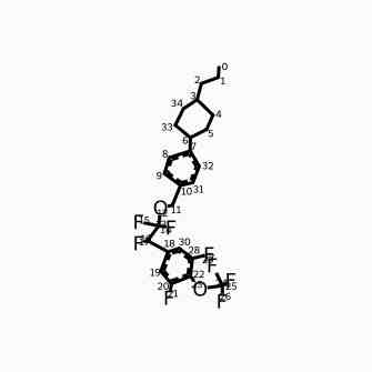 CCCC1CCC(c2ccc(COC(F)(F)C(F)c3cc(F)c(OC(F)(F)F)c(F)c3)cc2)CC1